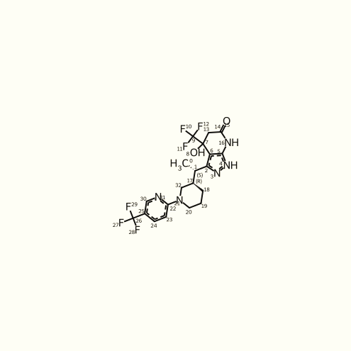 C[C@H](c1n[nH]c2c1C(O)(C(F)(F)F)CC(=O)N2)[C@H]1CCCN(c2ccc(C(F)(F)F)cn2)C1